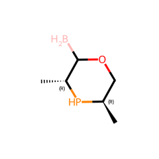 BC1OC[C@@H](C)P[C@@H]1C